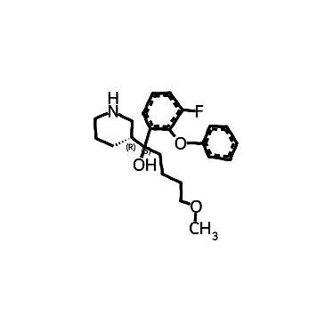 COCCCC[C@@](O)(c1cccc(F)c1Oc1ccccc1)[C@@H]1CCCNC1